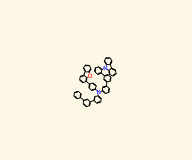 c1ccc(-c2cccc(-c3cccc(N(c4ccc(-c5cccc6c5oc5ccccc56)cc4)c4cccc(-c5cccc(-c6ccccc6-n6c7ccccc7c7ccccc76)c5)c4)c3)c2)cc1